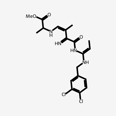 CC=C(NCc1ccc(Cl)c(Cl)c1)NC(=O)C(=N)/C(C)=C\NC(C)C(=O)OC